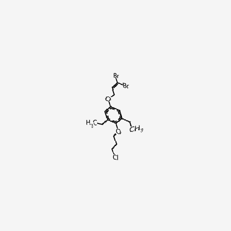 CCc1cc(OCC=C(Br)Br)cc(CC)c1OCCCCl